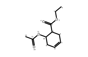 CCOC(=O)C1CC=CCC1OC(C)=O